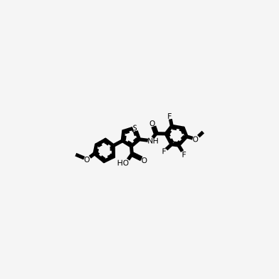 COc1ccc(-c2csc(NC(=O)c3c(F)cc(OC)c(F)c3F)c2C(=O)O)cc1